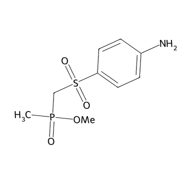 COP(C)(=O)CS(=O)(=O)c1ccc(N)cc1